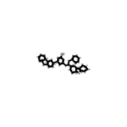 Brc1cc(CC(Cc2ccccc2)c2ccc3sc4ccccc4c3c2)cc(-c2ccc3c(c2)-c2ccccc2C3)c1